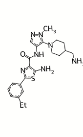 CCc1cccc(-c2nc(C(=O)Nc3cnn(C)c3N3CCC(CN)CC3)c(N)s2)c1